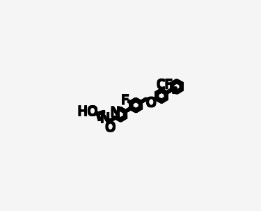 O=C(c1ccc(-c2ccc(COc3ccc(-c4ccccc4)c(C(F)(F)F)c3)cc2F)cn1)N1CC(O)C1